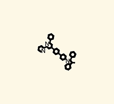 Cc1c(-c2ccccc2)n(-c2ccc(-c3ccc(-c4cc(-c5ccccc5)nc(-c5ccccn5)c4)cc3)cc2)c2ccccc12